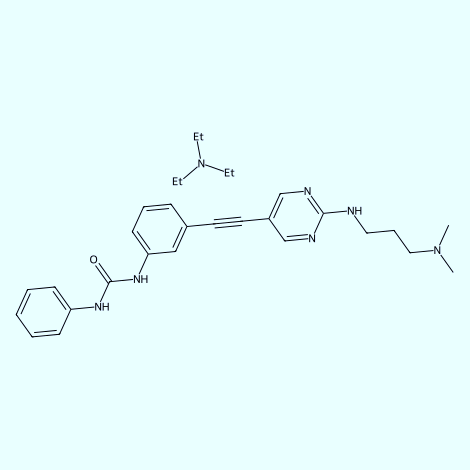 CCN(CC)CC.CN(C)CCCNc1ncc(C#Cc2cccc(NC(=O)Nc3ccccc3)c2)cn1